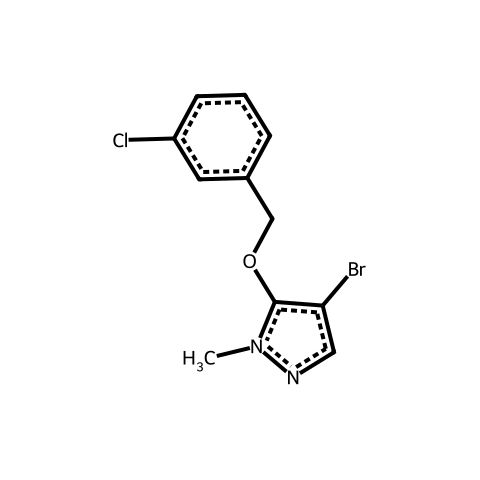 Cn1ncc(Br)c1OCc1cccc(Cl)c1